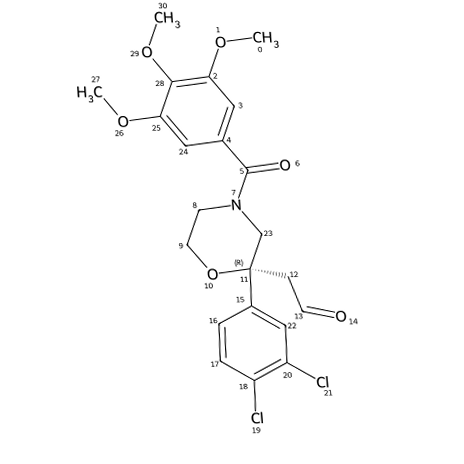 COc1cc(C(=O)N2CCO[C@](CC=O)(c3ccc(Cl)c(Cl)c3)C2)cc(OC)c1OC